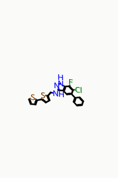 Fc1c(Cl)c(-c2ccccc2)cc2c(NCc3ccc(-c4cccs4)s3)n[nH]c12